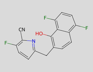 N#Cc1nc(Cc2ccc3c(F)ccc(F)c3c2O)ccc1F